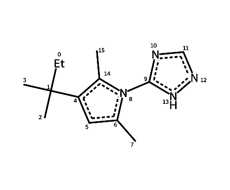 CCC(C)(C)c1cc(C)n(-c2ncn[nH]2)c1C